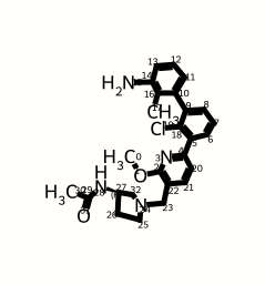 COc1nc(-c2cccc(-c3cccc(N)c3C)c2Cl)ccc1CN1CC[C@@H](NC(C)=O)C1